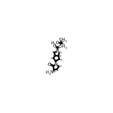 CC(C)(C)OC(=O)N1CC2CC(N3CCC(N)C3=O)CC2C1